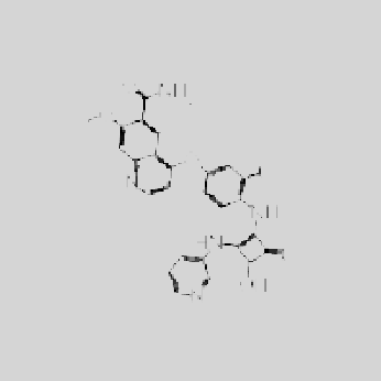 COc1cc2nccc(Oc3ccc(NC4=C(Nc5cccnc5)C(O)C4=O)c(Cl)c3)c2cc1C(N)=O